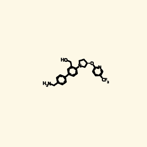 NCc1ccc(-c2ccc(N3CC[C@H](Oc4ccc(C(F)(F)F)cn4)C3)c(CO)c2)cc1